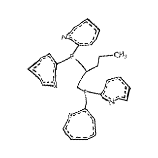 CCCC(CP(c1ccccn1)c1ccccn1)P(c1ccccn1)c1ccccn1